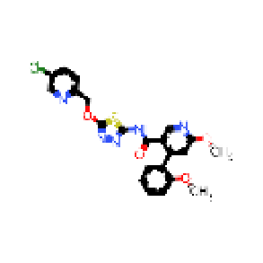 COc1cc(-c2ccccc2OC)c(C(=O)Nc2nnc(OCc3ccc(Cl)cn3)s2)cn1